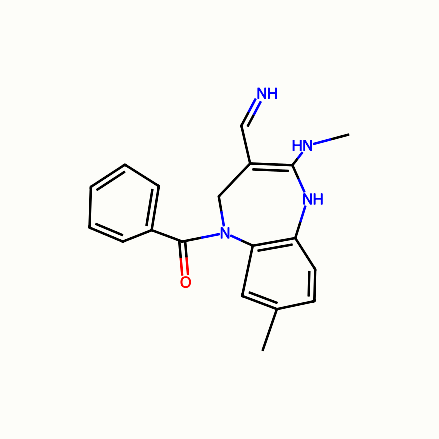 CNC1=C(C=N)CN(C(=O)c2ccccc2)c2cc(C)ccc2N1